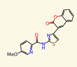 COc1ccc(C(=O)Nc2nc(-c3cc4ccccc4oc3=O)cs2)nc1